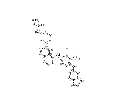 C=CC(=O)N[C@H]1C=CC[C@H](c2ccc3ncnc(Nc4ccc(Oc5ccn6ncnc6c5)c(C)c4F)c3n2)C1